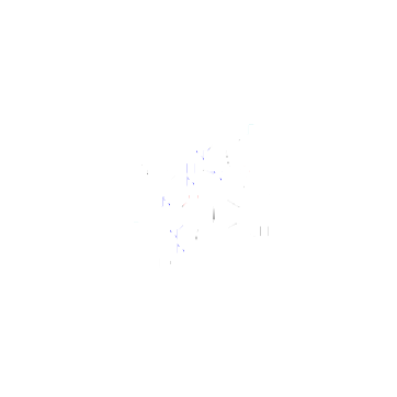 COc1nc(NC[C@@H]2[C@H](C)CC(F)(F)CN2C(=O)c2nn(C)cc2-c2cccc(C)c2)ncc1C(F)(F)F